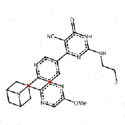 COc1cnc(CN2C3CC2CN(c2ccc(-c4nc(NCCF)[nH]c(=O)c4C#N)cn2)C3)cn1